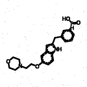 O=[PH](O)c1cccc(Cc2cc3cc(OCCN4CCOCC4)ccc3[nH]2)c1